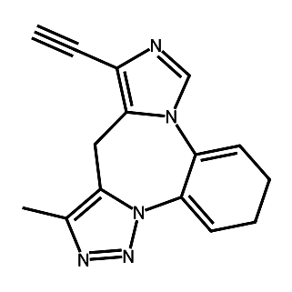 C#Cc1ncn2c1Cc1c(C)nnn1C1=CCCC=C12